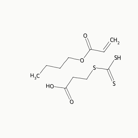 C=CC(=O)OCCCC.O=C(O)CCSC(=S)S